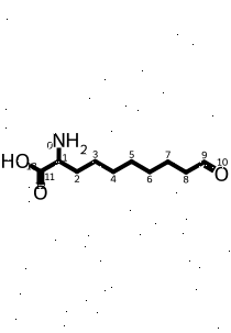 NC(CCCCCCCC=O)C(=O)O